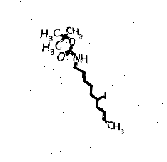 CCCCC(I)CCCCCNC(=O)OC(C)(C)C